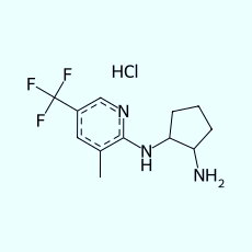 Cc1cc(C(F)(F)F)cnc1NC1CCCC1N.Cl